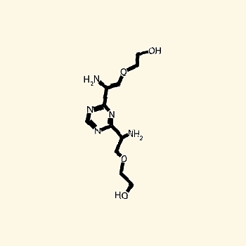 NC(COCCO)c1ncnc(C(N)COCCO)n1